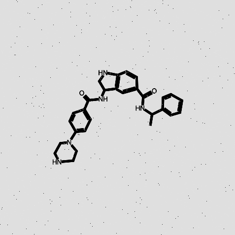 CC(NC(=O)c1ccc2c(c1)C(NC(=O)c1ccc(N3CCNCC3)cc1)CN2)c1ccccc1